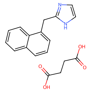 O=C(O)CCC(=O)O.c1ccc2c(Cc3ncc[nH]3)cccc2c1